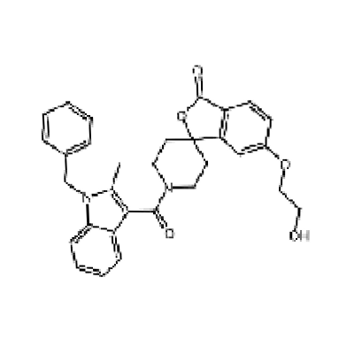 Cc1c(C(=O)N2CCC3(CC2)OC(=O)c2ccc(OCCO)cc23)c2ccccc2n1Cc1ccccc1